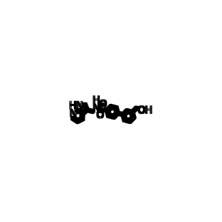 O=S(=O)(NCc1c[nH]c2ncccc12)c1ccc(-c2cccc(CO)c2)cc1